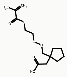 C=C(C)C(=O)OCCOOCC1(CC(=O)O)CCCC1